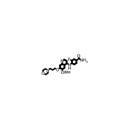 COc1cc2c(Nc3ccc(C(N)=O)cc3F)ccnc2cc1OCCCN1CCOCC1